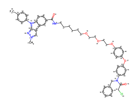 Cn1cc2c3cc(C(=O)NCCCCCCOCCOCCOc4ccc(Oc5ccc(N(Cc6ccccc6)C(=O)CCl)cc5)cc4)ccc3n(-c3ccc(C(F)(F)F)cc3)c2n1